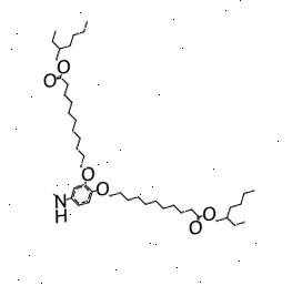 CCCCC(CC)COC(=O)CCCCCCCCCCOc1ccc(NC)cc1OCCCCCCCCCCC(=O)OCC(CC)CCCC